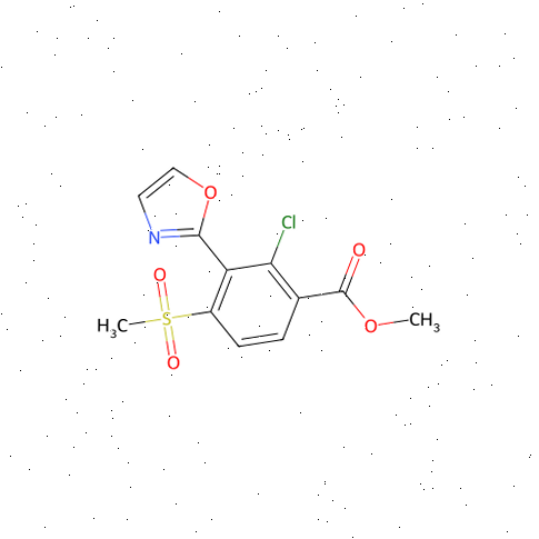 COC(=O)c1ccc(S(C)(=O)=O)c(-c2ncco2)c1Cl